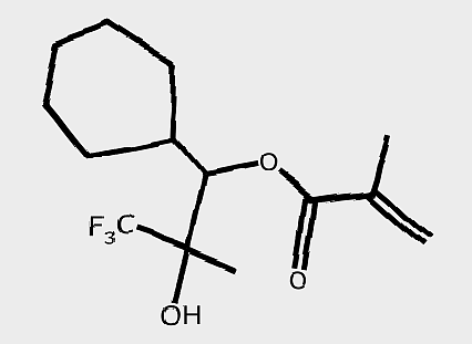 C=C(C)C(=O)OC(C1CCCCC1)C(C)(O)C(F)(F)F